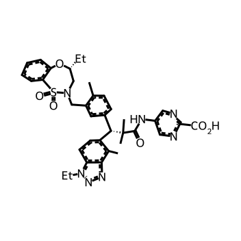 CC[C@@H]1CN(Cc2cc([C@@H](c3ccc4c(nnn4CC)c3C)C(C)(C)C(=O)Nc3cnc(C(=O)O)nc3)ccc2C)S(=O)(=O)c2ccccc2O1